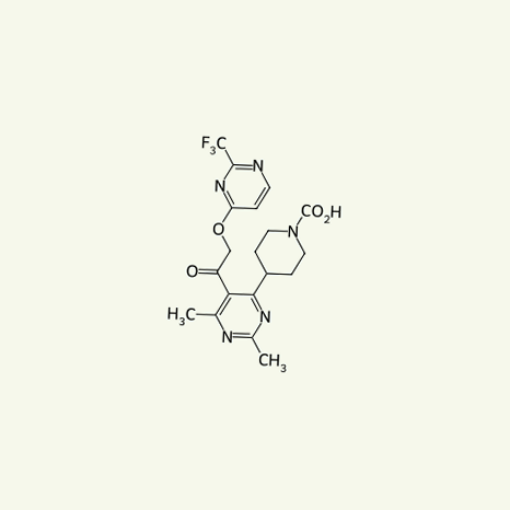 Cc1nc(C)c(C(=O)COc2ccnc(C(F)(F)F)n2)c(C2CCN(C(=O)O)CC2)n1